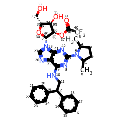 CC1CCC(C)N1c1nc(NCC(c2ccccc2)c2ccccc2)c2ncn([C@@H]3O[C@H](CO)[C@@H](O)[C@H]3OC(=O)C(F)(F)F)c2n1